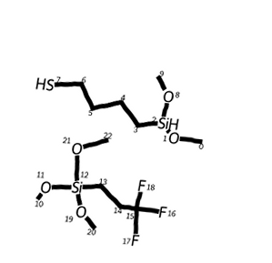 CO[SiH](CCCCS)OC.CO[Si](CCC(F)(F)F)(OC)OC